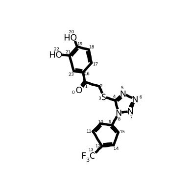 O=C(CSc1nnnn1-c1ccc(C(F)(F)F)cc1)c1ccc(O)c(O)c1